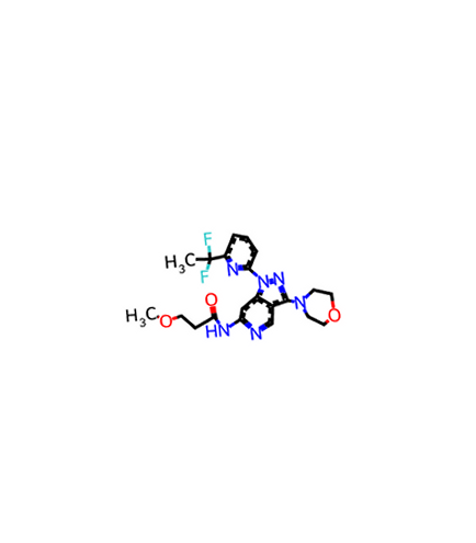 COCCC(=O)Nc1cc2c(cn1)c(N1CCOCC1)nn2-c1cccc(C(C)(F)F)n1